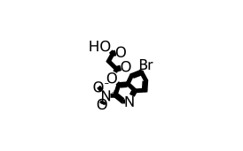 O=C(O)CC(=O)Oc1c([N+](=O)[O-])cnc2ccc(Br)cc12